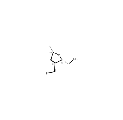 C[C@H]1C[C@H](CF)[C@@H](CO)O1